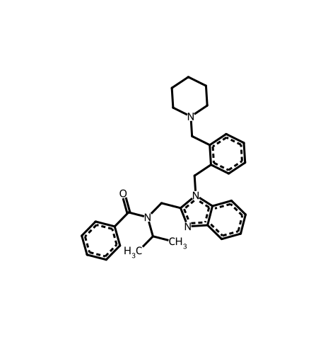 CC(C)N(Cc1nc2ccccc2n1Cc1ccccc1CN1CCCCC1)C(=O)c1ccccc1